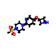 CS(=O)(=O)N1CCN(c2ccc(OC3CNC3)cn2)CC1